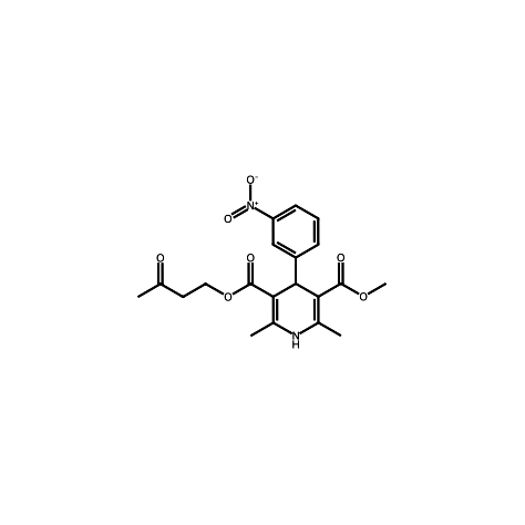 COC(=O)C1=C(C)NC(C)=C(C(=O)OCCC(C)=O)C1c1cccc([N+](=O)[O-])c1